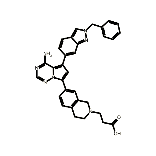 Nc1ncnn2c(-c3ccc4c(c3)CN(CCC(=O)O)CC4)cc(-c3ccc4cn(Cc5ccccc5)nc4c3)c12